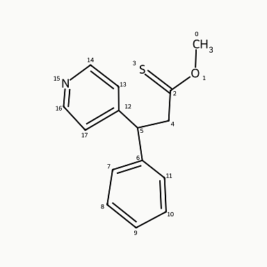 COC(=S)CC(c1ccccc1)c1ccncc1